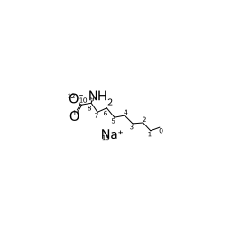 CCCCCCCCC(N)C(=O)[O-].[Na+]